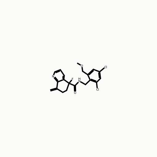 C=C1CCC(F)(C(=O)NCc2c(Cl)cc(Cl)cc2COC)c2cccnc21